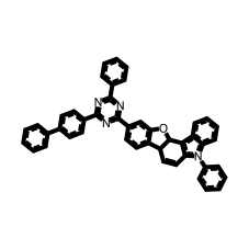 C1=CC2c3ccc(-c4nc(-c5ccccc5)nc(-c5ccc(-c6ccccc6)cc5)n4)cc3OC2c2c1n(-c1ccccc1)c1ccccc21